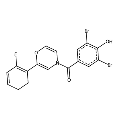 O=C(c1cc(Br)c(O)c(Br)c1)N1C=COC(C2=C(F)C=CCC2)=C1